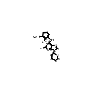 COc1cccc(Nc2nc(F)nc3c2ncn3C2CCCCO2)c1Cl